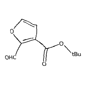 CC(C)(C)OC(=O)c1ccoc1C=O